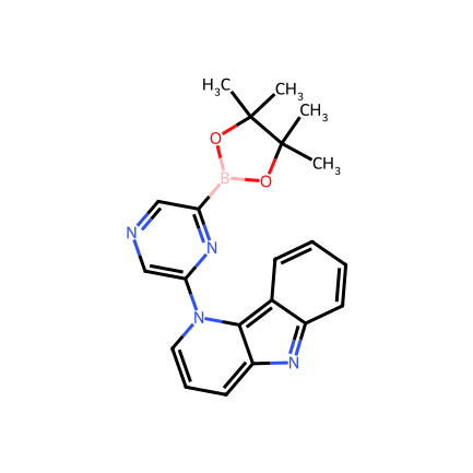 CC1(C)OB(c2cncc(-n3cccc4nc5ccccc5c3-4)n2)OC1(C)C